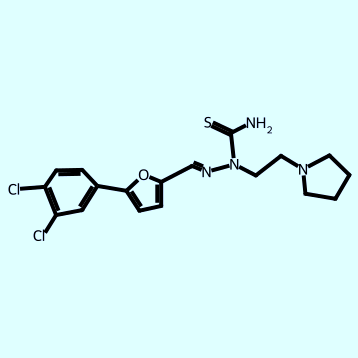 NC(=S)N(CCN1CCCC1)N=Cc1ccc(-c2ccc(Cl)c(Cl)c2)o1